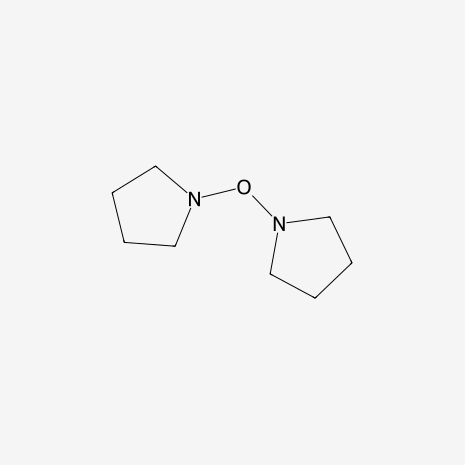 C1CCN(ON2CCCC2)C1